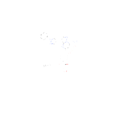 COCCOC1(C(=O)CO)CCC(c2nc3c(-c4cnn(-c5ccccc5)c4)cnn3c(N)c2S(C)(=O)=O)CC1